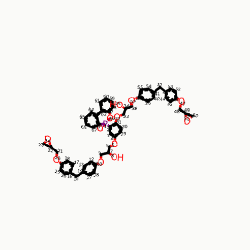 O=P1(c2cc(OCC(O)COc3ccc(Cc4ccc(OCC5CO5)cc4)cc3)ccc2OCC(O)COc2ccc(Cc3ccc(OCC4CO4)cc3)cc2)Oc2ccccc2-c2ccccc21